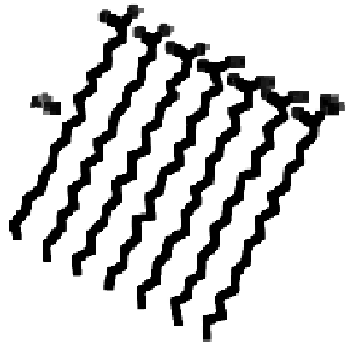 CCCCCCCCCCCCCCCCCC(=O)O.CCCCCCCCCCCCCCCCCC(=O)O.CCCCCCCCCCCCCCCCCC(=O)O.CCCCCCCCCCCCCCCCCC(=O)O.CCCCCCCCCCCCCCCCCC(=O)[O-].CCCCCCCCCCCCCCCCCC(=O)[O-].CCCCCCCCCCCCCCCCCC(=O)[O-].F.[Al+3].[SiH4]